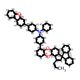 C/C=C\C1=CC2(c3ccccc3-c3ccccc32)c2ccc3c(c21)Oc1cccc(-c2ccc(N(c4ccccc4)c4ccc(-c5ccc6c(c5)oc5ccccc56)cc4)cc2)c1O3